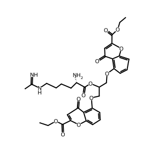 CCOC(=O)c1cc(=O)c2c(OCC(COc3cccc4oc(C(=O)OCC)cc(=O)c34)OC(=O)[C@@H](N)CCCCNC(C)=N)cccc2o1